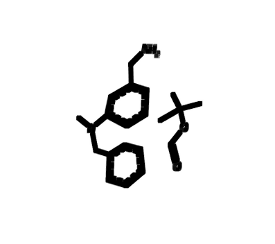 CC(C)(C)OC=O.CN(Cc1ccccc1)c1cccc(CN)c1